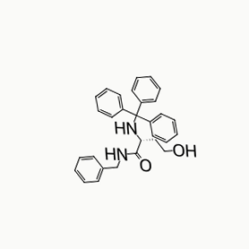 O=C(NCc1ccccc1)[C@@H](CCO)NC(c1ccccc1)(c1ccccc1)c1ccccc1